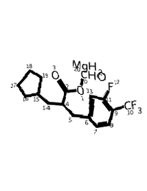 O=COC(=O)C(Cc1ccc(C(F)(F)F)c(F)c1)CC1CCCC1.[MgH2]